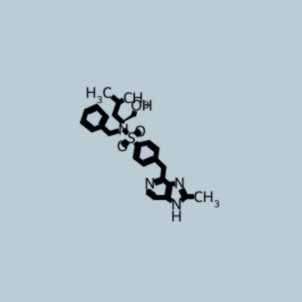 Cc1nc2c(Cc3ccc(S(=O)(=O)N(Cc4ccccc4)[C@H](CO)CC(C)C)cc3)nccc2[nH]1